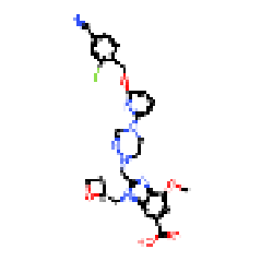 COc1cc(C(=O)O)cc2c1nc(CN1CCN(c3cccc(OCc4ccc(C#N)cc4F)n3)C=N1)n2C[C@@H]1CCO1